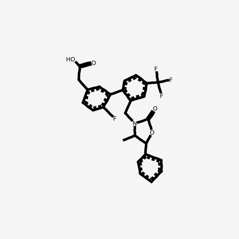 CC1C(c2ccccc2)OC(=O)N1Cc1cc(C(F)(F)F)ccc1-c1cc(CC(=O)O)ccc1F